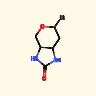 CCC1CC2NC(=O)NC2CO1